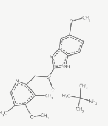 CC(C)(C)N.COc1ccc2[nH]c([S+]([O-])Cc3ncc(C)c(OC)c3C)nc2c1